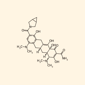 CN(C)c1cc(C(=O)N2CC3CC3C2)c(O)c2c1C[C@H]1C[C@H]3[C@H](N(C)C)C(O)=C(C(N)=O)C(=O)[C@@]3(O)C(O)=C1C2